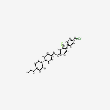 CCC[C@H]1CC[C@H](C2CCC(CCc3ccc(-c4ccc(CCl)cc4)c(F)c3)CC2)CC1